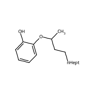 CCCCCCCCCC(C)Oc1ccccc1O